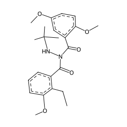 CCc1c(OC)cccc1C(=O)N(NC(C)(C)C)C(=O)c1cc(OC)ccc1OC